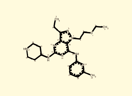 CCOCCn1nc(CC)c2nc(NC3CCNCC3)nc(Nc3cccc(C)n3)c21